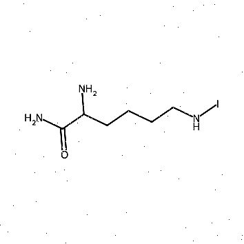 NC(=O)C(N)CCCCNI